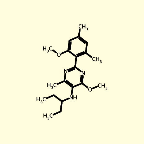 CCC(CC)Nc1c(C)nc(-c2c(C)cc(C)cc2OC)nc1OC